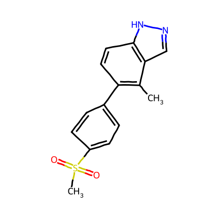 Cc1c(-c2ccc(S(C)(=O)=O)cc2)ccc2[nH]ncc12